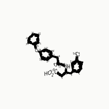 O=C(O)CC(Cc1cccc(Cl)c1)NC(=O)Cc1ccc(Oc2ccccc2)cc1